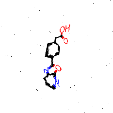 O=C(O)Cc1ccc(-c2nc3cccnc3o2)cc1